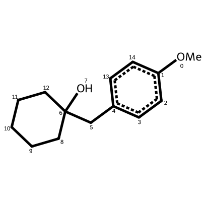 COc1ccc(CC2(O)CCCCC2)cc1